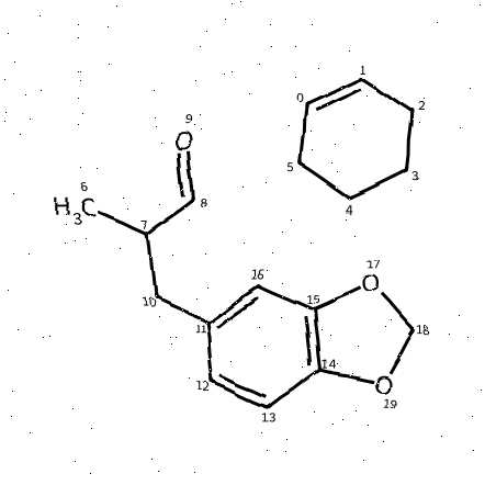 C1=CCCCC1.CC(C=O)Cc1ccc2c(c1)OCO2